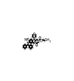 C=CCOC(=O)N1CC(=O)N(Cc2ccc(C#N)c(N=C(c3ccccc3)c3ccccc3)c2)[C@@H](CN2CCOCC2)C1